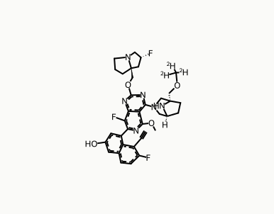 [2H]C([2H])([2H])OC[C@@]12CC[C@@H](CN(c3nc(OC[C@@]45CCCN4C[C@H](F)C5)nc4c(F)c(-c5cc(O)cc6ccc(F)c(C#C)c56)nc(OC)c34)C1)N2